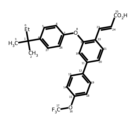 CCC(C)(C)c1ccc(Oc2cc(-c3ccc(OC(F)(F)F)cc3)ccc2/C=C/C(=O)O)cc1